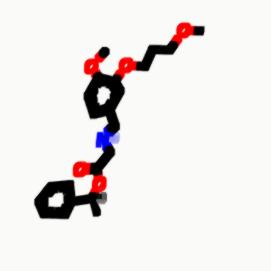 COCCCOc1cc(/C=N/CC(=O)O[C@@H](C)c2ccccc2)ccc1OC